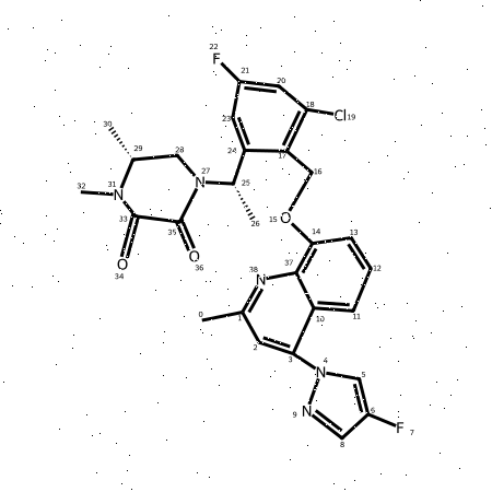 Cc1cc(-n2cc(F)cn2)c2cccc(OCc3c(Cl)cc(F)cc3[C@H](C)N3C[C@@H](C)N(C)C(=O)C3=O)c2n1